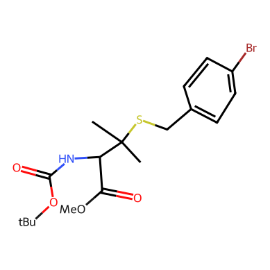 COC(=O)C(NC(=O)OC(C)(C)C)C(C)(C)SCc1ccc(Br)cc1